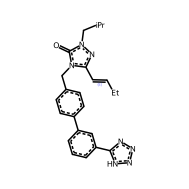 CC/C=C/c1nn(CC(C)C)c(=O)n1Cc1ccc(-c2cccc(-c3nnn[nH]3)c2)cc1